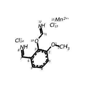 COc1cccc(C=N)c1OC=N.[Cl-].[Cl-].[Mn+2]